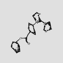 O=C(Oc1ccccc1)c1ccc(-n2ccnc2-n2ccnc2)cc1